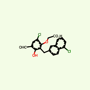 O=Cc1cc(Cl)c(OCC(=O)O)c(Cc2ccc3c(Cl)cccc3c2)c1O